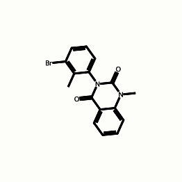 Cc1c(Br)cccc1-n1c(=O)c2ccccc2n(C)c1=O